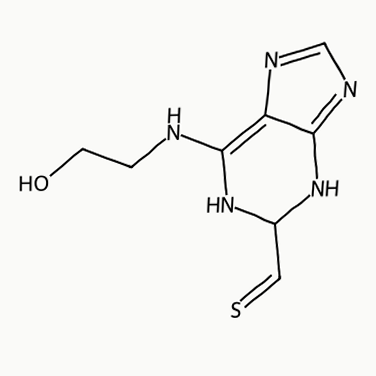 OCCNC1=C2N=CN=C2NC(C=S)N1